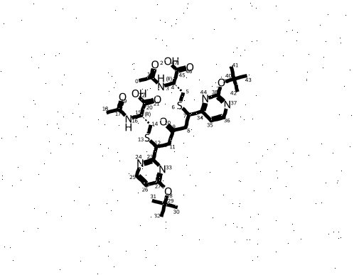 CC(=O)N[C@@H](CSC(CC(=O)CC(SC[C@H](NC(C)=O)C(=O)O)c1nccc(OC(C)(C)C)n1)c1ccnc(OC(C)(C)C)n1)C(=O)O